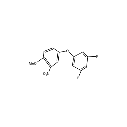 COc1ccc(Oc2cc(F)cc(F)c2)cc1[N+](=O)[O-]